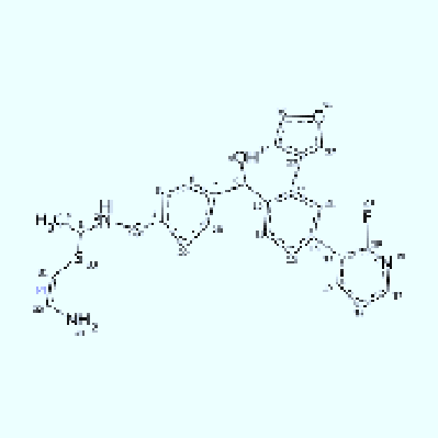 CC(NSc1ccc(C(O)c2ccc(-c3cccnc3F)cc2-c2ccoc2)cc1)S/C=C\N